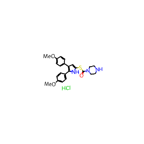 COc1ccc(-c2cc(SC(=O)N3CCNCC3)[nH]c2-c2ccc(OC)cc2)cc1.Cl